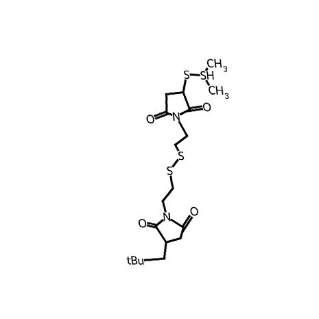 C[SH](C)SC1CC(=O)N(CCSSCCN2C(=O)CC(CC(C)(C)C)C2=O)C1=O